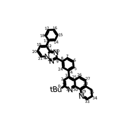 CC(C)(C)c1cc(-c2cccc(-c3nc4c(-c5ccccc5)cccn4n3)c2)c2ccc3c(c2n1)N=CCC3